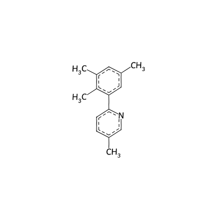 Cc1ccc(-c2cc(C)cc(C)c2C)nc1